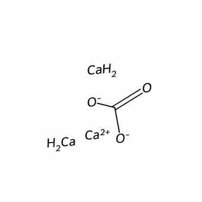 O=C([O-])[O-].[Ca+2].[CaH2].[CaH2]